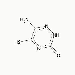 Nc1n[nH]c(=O)nc1S